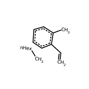 C=Cc1ccccc1C.CCCCCCC